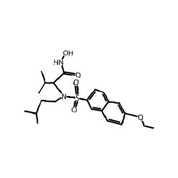 CCOc1ccc2cc(S(=O)(=O)N(CCC(C)C)C(C(=O)NO)C(C)C)ccc2c1